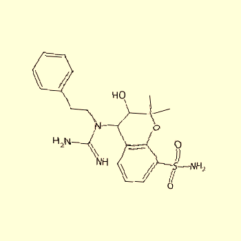 CC1(C)Oc2c(cccc2S(N)(=O)=O)C(N(CCc2ccccc2)C(=N)N)C1O